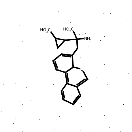 NC(CC1=CC=CC2=c3ccccc3=COC12)(C(=O)O)C1CC1C(=O)O